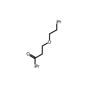 CC(C)CCOCCC(=O)C(C)C